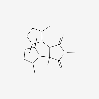 CC1CCC(C)P1C1C(=O)N(C)C(=O)C1(O)P1C(C)CCC1C